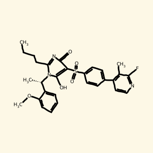 CCCCc1nc(=O)c(S(=O)(=O)c2ccc(-c3ccnc(F)c3C)cc2)c(O)n1[C@@H](C)c1ccccc1OC